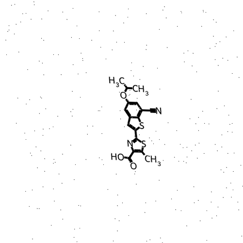 Cc1sc(-c2cc3cc(OC(C)C)cc(C#N)c3s2)nc1C(=O)O